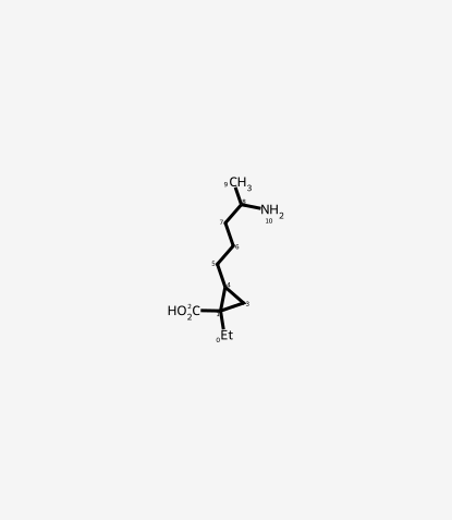 CCC1(C(=O)O)CC1CCCC(C)N